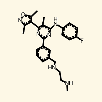 CNCCNCc1cccc(-c2nc(Nc3ccc(F)cc3)c(C)c(-c3c(C)noc3C)n2)c1